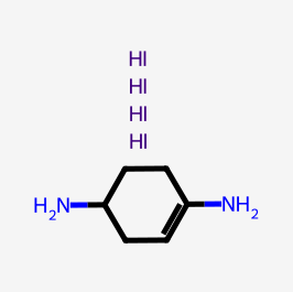 I.I.I.I.NC1=CCC(N)CC1